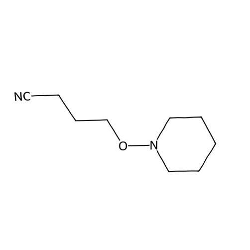 N#CCCCON1CCCCC1